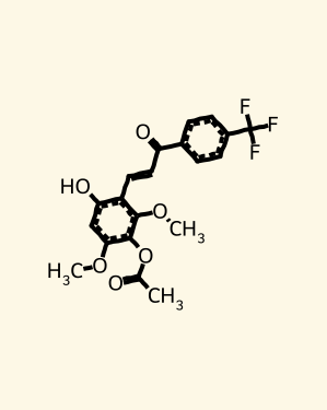 COc1cc(O)c(C=CC(=O)c2ccc(C(F)(F)F)cc2)c(OC)c1OC(C)=O